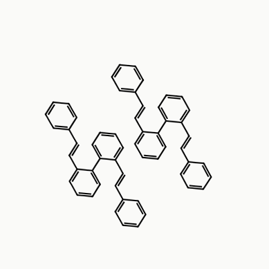 C(=C\c1ccccc1-c1ccccc1/C=C/c1ccccc1)/c1ccccc1.C(=C\c1ccccc1-c1ccccc1/C=C/c1ccccc1)/c1ccccc1